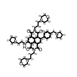 O=C1c2cc(-c3ccc(CN4CCCC4)cc3)c3c4c(cc(NCCN5CCCC5)c(c24)C(=O)N1CCCN1CCOCC1)C(=O)N(CCCN1CCOCC1)C3=O